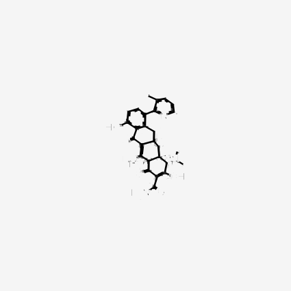 Cc1cccnc1-c1ccc(O)c2c1C[C@@H]1C[C@H]3[C@H](N(C)C)C(O)=C(C(N)=O)C(=O)[C@@]3(O)C(O)=C1C2=O